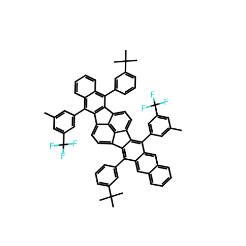 Cc1cc(-c2c3c(c(-c4cccc(C(C)(C)C)c4)c4ccccc24)-c2ccc4c5c(ccc-3c25)-c2c-4c(-c3cc(C)cc(C(F)(F)F)c3)c3cc4ccccc4cc3c2-c2cccc(C(C)(C)C)c2)cc(C(F)(F)F)c1